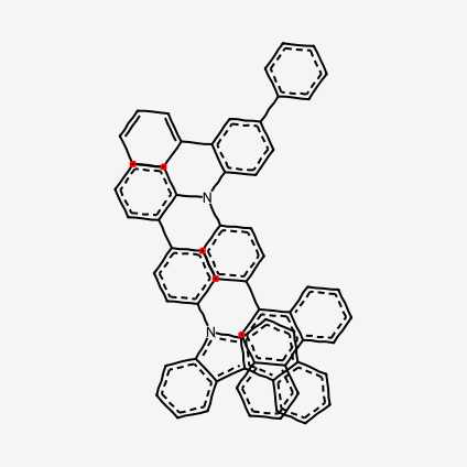 C1=CCCC(c2cc(-c3ccccc3)ccc2N(c2ccc(-c3cc4ccccc4c4ccccc34)cc2)c2ccccc2-c2ccc(-n3c4ccccc4c4c5ccccc5ccc43)cc2)=C1